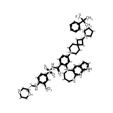 CC(C)(c1ccccc1[C@@H]1CCCN1C1CC2(CCN(c3ccc(C(=O)NS(=O)(=O)c4ccc(NC[C@H]5COCCO5)c([N+](=O)[O-])c4)c(N4CCCOc5nc6[nH]ccc6cc54)c3)CC2)C1)C(F)(F)F